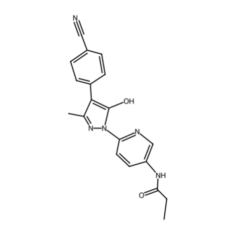 CCC(=O)Nc1ccc(-n2nc(C)c(-c3ccc(C#N)cc3)c2O)nc1